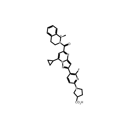 C[C@@H]1c2ccccc2CCN1C(=O)c1cc(C2CC2)n2nc(-c3ccc(N4CCC(C(=O)O)C4)nc3F)cc2n1